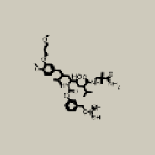 COCCCOc1cc(CC(CC(NC(=O)Oc2cccc(CON(O)O)c2)C(O)CC(C(=O)NCC(C)(C)C(N)=O)C(C)C)C(C)C)ccc1OC